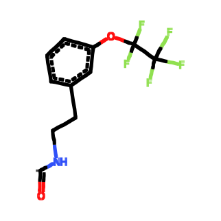 O=[C]NCCc1cccc(OC(F)(F)C(F)(F)F)c1